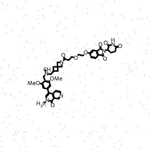 COc1cc(-c2cn(C)c(=O)c3cnccc23)cc(OC)c1CN(C)CC1CC2(C1)CN(C(=O)CCOCCOc1ccc3c(c1)C(=O)N(C1CCC(=O)NC1=O)C3=O)C2